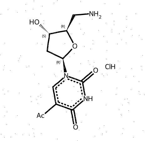 CC(=O)c1cn([C@H]2C[C@H](O)[C@@H](CN)O2)c(=O)[nH]c1=O.Cl